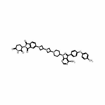 Cc1ccc(Oc2ccc(-c3nn(C4CCN(C5CN(C6CN(c7ccc8c(c7)C(=O)N(C7CCC(=O)NC7=O)C8=O)C6)C5)CC4)c4ncnc(N)c34)cc2)cc1